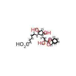 O=C(O)CCC/C=C\C[C@@H]1[C@@H](CC[C@@H](O)[C@@H]2OCc3ccccc3O2)[C@H](O)C[C@@H]1O